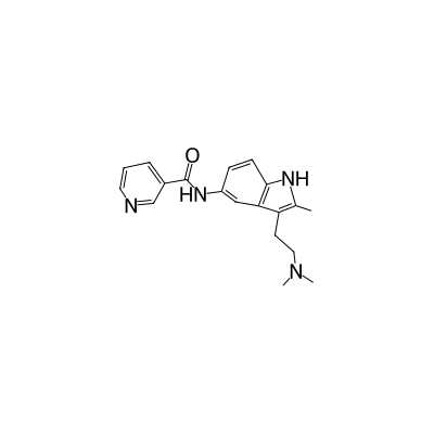 Cc1[nH]c2ccc(NC(=O)c3cccnc3)cc2c1CCN(C)C